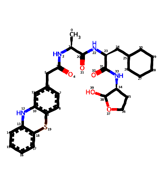 C[C@H](NC(=O)Cc1ccc2c(c1)Nc1ccccc1S2)C(=O)N[C@@H](CC1CCCCC1)C(=O)N[C@H]1CCOC1O